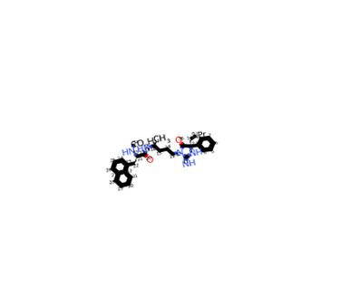 CC(C)C[C@]1(c2ccccc2)NC(=N)N(CCC[C@H](C)NC(=O)[C@H](Cc2cccc3ccccc23)NC(=O)O)C1=O